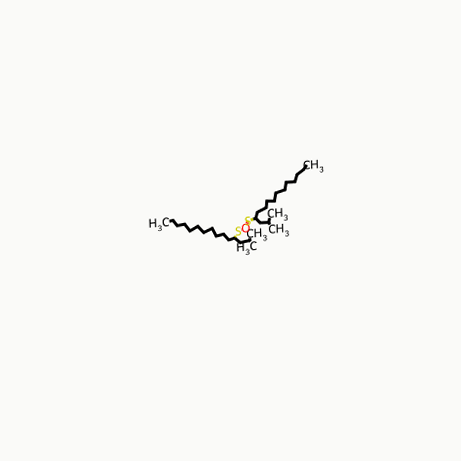 CCCCCCCCCCCC(CC(C)C)SOSC(CCCCCCCCCCC)CC(C)C